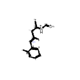 C/C(=C\c1ccccc1C)CC(C)NC=O